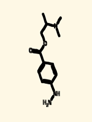 CC(COC(=O)c1ccc(NN)cc1)N(C)C